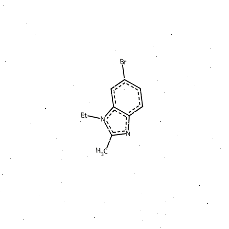 CCn1c(C)nc2ccc(Br)cc21